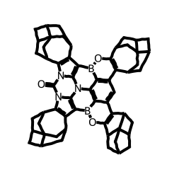 O=c1n2c3c(c4c2n2c5c(c6c(n15)C1CC5CC7CC6CC75C1)B1OC5=C(c6cc7c(c-2c61)B4OC1=C7C2CC4CC(CC1C4)C2)C1CC2CC4CC5CC42C1)C1CC2CC4CC3CC24C1